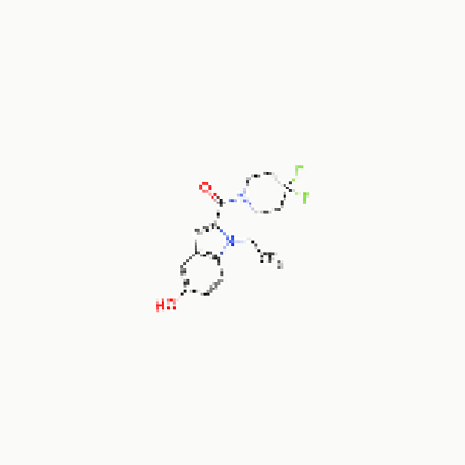 O=C(c1cc2cc(O)ccc2n1CC(F)(F)F)N1CCC(F)(F)CC1